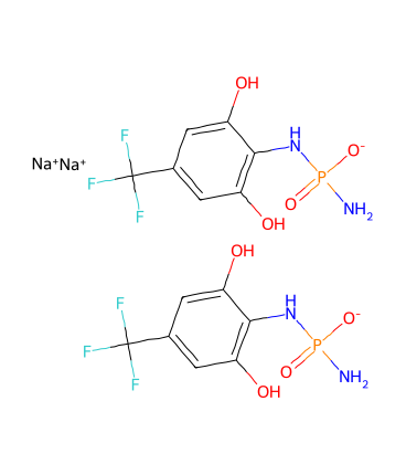 NP(=O)([O-])Nc1c(O)cc(C(F)(F)F)cc1O.NP(=O)([O-])Nc1c(O)cc(C(F)(F)F)cc1O.[Na+].[Na+]